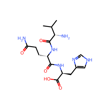 CC(C)[C@H](N)C(=O)N[C@@H](CCC(N)=O)C(=O)N[C@@H](Cc1c[nH]cn1)C(=O)O